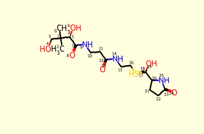 CC(C)(CO)[C@@H](O)C(=O)NCCC(=O)NCC[SH]=C(O)C1CCC(=O)N1